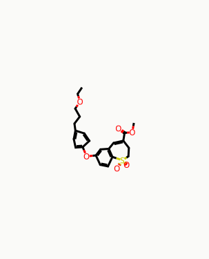 CCOCCCc1ccc(Oc2ccc3c(c2)C=C(C(=O)OC)CCS3(=O)=O)cc1